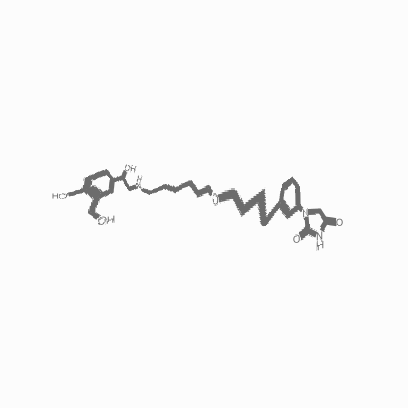 O=C1CN(c2cccc(CCCCOCCCCCCNCC(O)c3ccc(O)c(CO)c3)c2)C(=O)N1